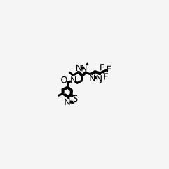 Cc1cc(C(=O)N2CCc3c(nn(C)c3-c3cc(C(F)(F)F)n(C)n3)C2C)cc2scnc12